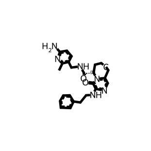 Cc1nc(N)ccc1CNC(=O)[C@@H]1CCCCc2cnc(NCCc3ccccc3)c(=O)n21